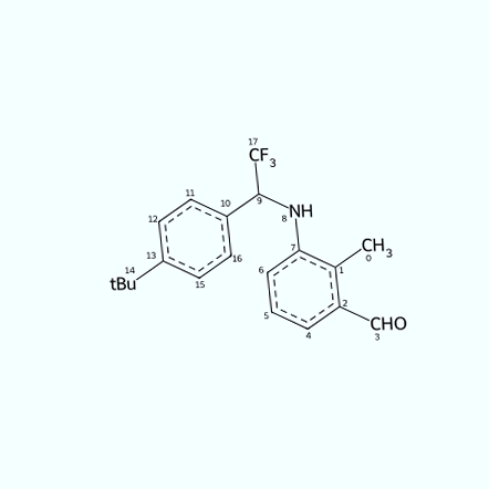 Cc1c(C=O)cccc1NC(c1ccc(C(C)(C)C)cc1)C(F)(F)F